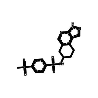 CS(=O)(=O)c1ccc(S(=O)(=O)NC2CCc3c(cnc4[nH]ncc34)C2)cc1